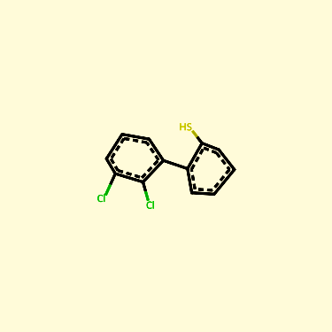 Sc1ccccc1-c1cccc(Cl)c1Cl